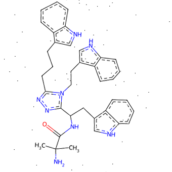 CC(C)(N)C(=O)NC(Cc1c[nH]c2ccccc12)c1nnc(CCCc2c[nH]c3ccccc23)n1CCc1c[nH]c2ccccc12